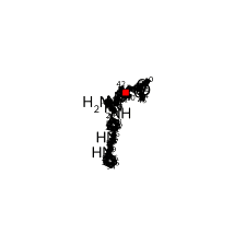 CCOP(=O)(CCCN1C(C)CN(c2nc(N)nc(NC[C@H]3CC[C@H](CNCCCNC4CCCCC4)CC3)n2)CC1C)OCC